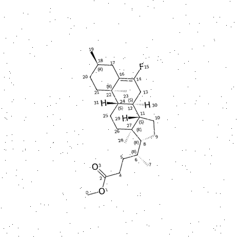 COC(=O)CC[C@@H](C)[C@H]1CC[C@H]2[C@@H]3CC(F)=C4C[C@H](C)CC[C@]4(C)[C@H]3CC[C@]12C